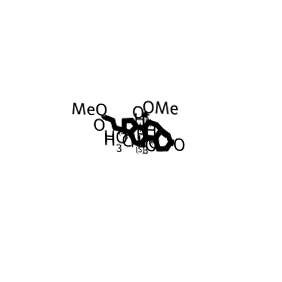 COC(=O)CC[C@@]1(O)CC[C@H]2[C@@H]3[C@H](C(=O)OC)CC4=CC(=O)CC[C@]4(C)C34O[C@H]4C[C@@]21C